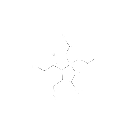 CCO[Si](OCC)(OCC)C(CCN)C(N)CC